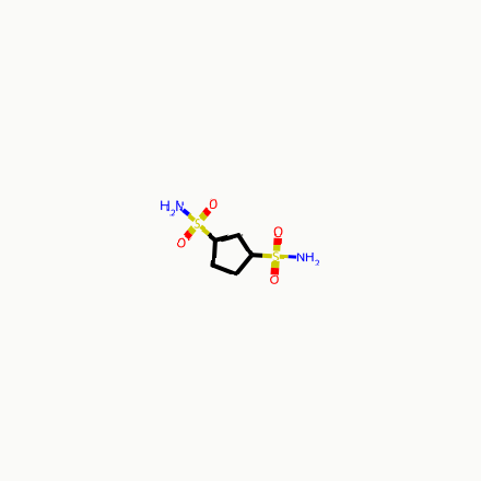 NS(=O)(=O)C1[CH]C(S(N)(=O)=O)CC1